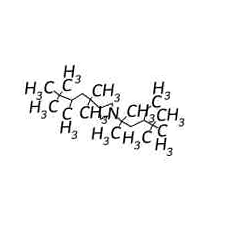 CCC(CC(C)(C)N1CC(C(C)(C)CC(C)C(C)(C)C)C1)C(C)(C)C